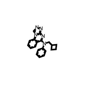 c1ccc(N(CC2CCC2)c2nc3nncn3c3ccccc23)cc1